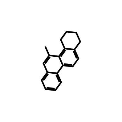 Cc1cc2ccccc2c2ccc3c(c12)CCCC3